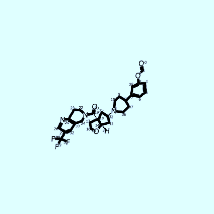 O=COc1cccc(C2CCN([C@@H]3C[C@H]4OCC[C@@]4(C(=O)N4CCc5ncc(C(F)(F)F)cc5C4)C3)CC2)c1